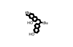 CC(C)(C)Cc1ccc2cc(CC(c3ccc4cc(O)ccc4c3)C(C)(C)C)cc(O)c2c1